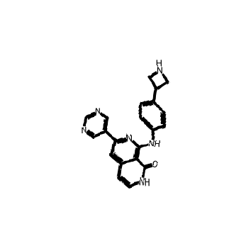 O=c1[nH]ccc2cc(-c3cncnc3)nc(Nc3ccc(C4CNC4)cc3)c12